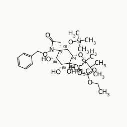 CCOC(=O)OC[C@]1(O)[C@H](O)[C@H](O)[C@]2(CC(=O)N2OCc2ccccc2)[C@H](O[Si](C)(C)C)[C@@H]1O[Si](C)(C)C(C)(C)C